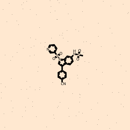 CS(=O)(=O)Nc1ccc2c(-c3ccc(C#N)cc3)cn(S(=O)(=O)c3cccnc3)c2c1